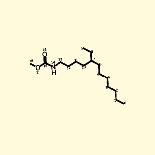 CCCCCCCC(CC)CCCCNC(=O)OC